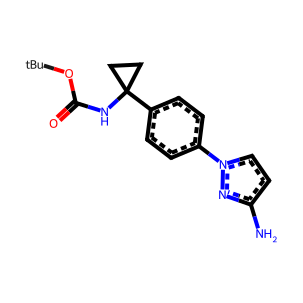 CC(C)(C)OC(=O)NC1(c2ccc(-n3ccc(N)n3)cc2)CC1